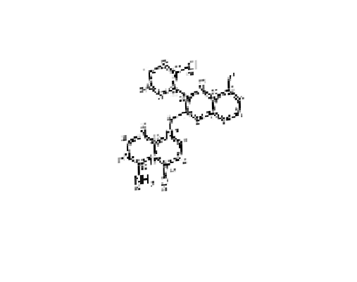 Cc1cccc2cc(Cn3ccc(=O)c4c(N)ncnc43)c(-c3ccccc3Cl)nc12